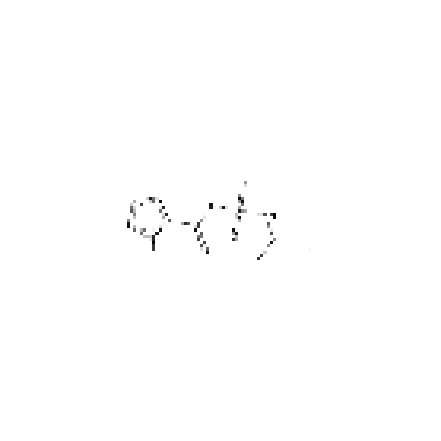 C[C@H](NS(=O)(=O)OC(=O)c1ccc[nH]1)C(F)(F)F